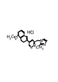 COc1cccc2c1CCC(c1cnnc(Cn3ccnc3C)c1)=C2.Cl